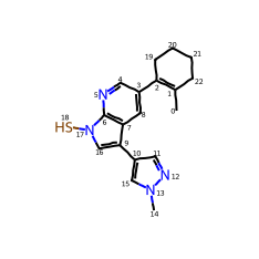 CC1=C(c2cnc3c(c2)c(-c2cnn(C)c2)cn3S)CCCC1